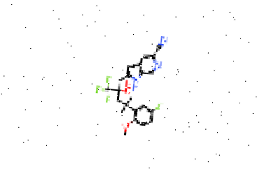 COc1ccc(F)cc1C(C)(C)CC(O)(Cc1cc2cc(C#N)ncc2[nH]1)C(F)(F)F